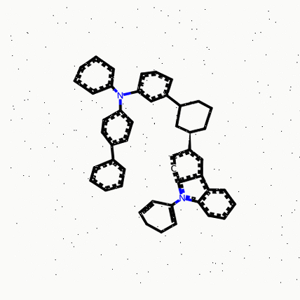 C1=CC(n2c3ccccc3c3cc([C@@H]4CCCC(c5cccc(N(c6ccccc6)c6ccc(-c7ccccc7)cc6)c5)C4)ccc32)=CCC1